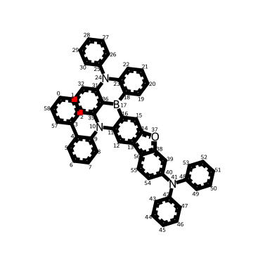 c1ccc(-c2ccccc2N2c3cc4c(cc3B3c5ccccc5N(c5ccccc5)c5cccc2c53)oc2cc(N(c3ccccc3)c3ccccc3)ccc24)cc1